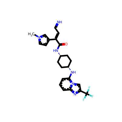 Cn1ccc(/C(=C\C=N)C(=O)N[C@H]2CC[C@@H](Nc3cccc4nc(C(F)(F)F)cn34)CC2)c1